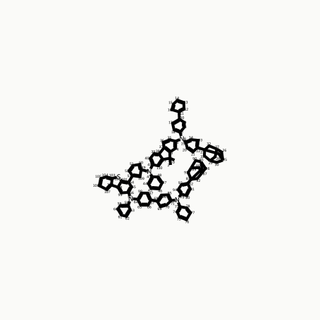 CC1(C)c2cc(N(c3ccc(-c4ccccc4)cc3)c3ccc(C45CC6CC(CC(C6)C4)C5)cc3)ccc2-c2ccc(N(c3ccccc3)c3cccc(-c4cc(N(c5ccccc5)c5ccc(-c6ccc(N(c7ccccc7)c7ccc(C89CC%10CC(CC(C%10)C8)C9)cc7)cc6)cc5)cc5c4sc4ccccc45)c3)cc21